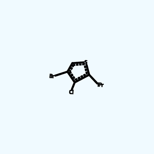 CC(C)c1scc(Br)c1Cl